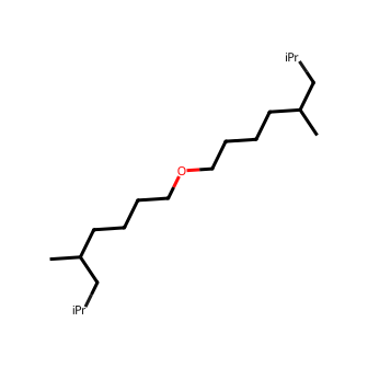 CC(C)CC(C)CCCCOCCCCC(C)CC(C)C